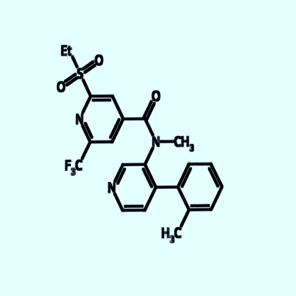 CCS(=O)(=O)c1cc(C(=O)N(C)c2cnccc2-c2ccccc2C)cc(C(F)(F)F)n1